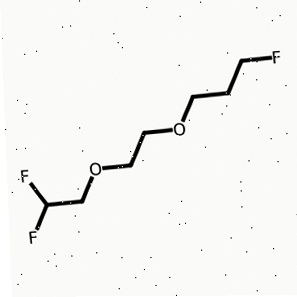 FCCCOCCOCC(F)F